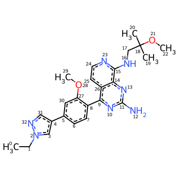 CCn1cc(-c2ccc(-c3nc(N)nc4c(NCC(C)(C)OC)nccc34)c(OC)c2)cn1